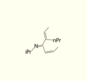 C\C=C/C(=N\C(C)C)C(=C/C)/CCC